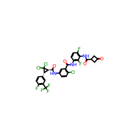 O=C1CC(C(=O)Nc2c(F)ccc(NC(=O)c3cc(NC(=O)[C@H]4[C@H](c5ccc(F)c(C(F)(F)F)c5)C4(Cl)Cl)ccc3Cl)c2F)C1